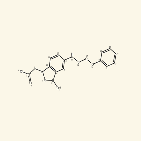 O=[N+]([O-])CC1OB(O)c2cc(NSOOc3ccccc3)ccc21